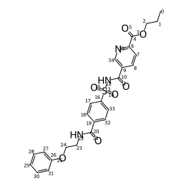 CCCOC(=O)c1ccc(C(=O)NS(=O)(=O)c2ccc(C(=O)NCCOc3ccccc3)cc2)cn1